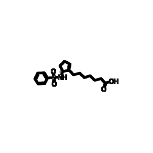 O=C(O)CCCCCCC1=CCC[C@@H]1NS(=O)(=O)c1ccccc1